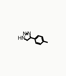 Cc1ccc(C2CNN=N2)cc1